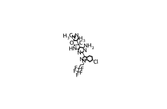 Cn1cc(C2(C)C(=O)Nc3nc(-c4nn(CCC(F)(F)C(F)(F)F)c5cc(Cl)ccc45)nc(N)c32)cn1